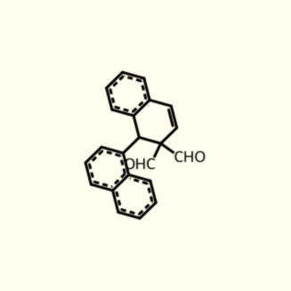 O=CC1(C=O)C=Cc2ccccc2C1c1cccc2ccccc12